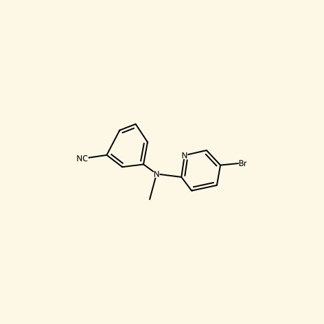 CN(c1cccc(C#N)c1)c1ccc(Br)cn1